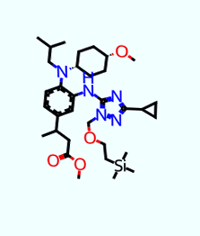 COC(=O)CC(C)c1ccc(N(CC(C)C)[C@H]2CC[C@@H](OC)CC2)c(Nc2nc(C3CC3)nn2COCC[Si](C)(C)C)c1